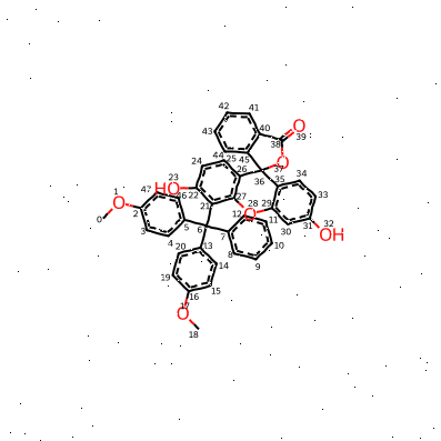 COc1ccc(C(c2ccccc2)(c2ccc(OC)cc2)c2c(O)ccc3c2Oc2cc(O)ccc2C32OC(=O)c3ccccc32)cc1